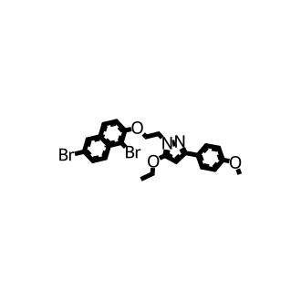 CCOc1cc(-c2ccc(OC)cc2)nn1CCOc1ccc2cc(Br)ccc2c1Br